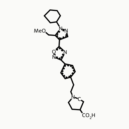 COCc1c(-c2nc(-c3ccc(CCN4CCC(C(=O)O)CC4)cc3)no2)cnn1C1CCCCC1